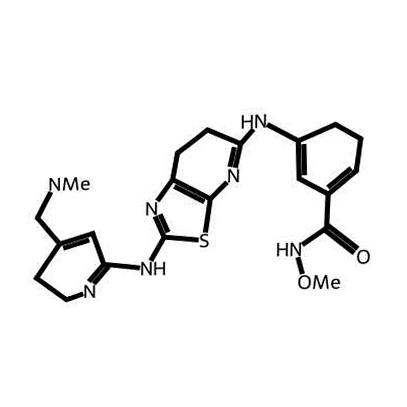 CNCC1=CC(Nc2nc3c(s2)N=C(NC2=CC(C(=O)NOC)=CCC2)CC3)=NCC1